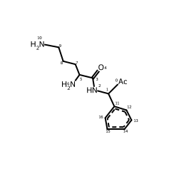 CC(=O)C(NC(=O)C(N)CCCN)c1ccccc1